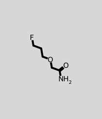 NC(=O)COCCCF